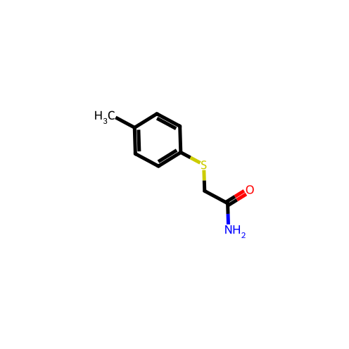 Cc1ccc(SCC(N)=O)cc1